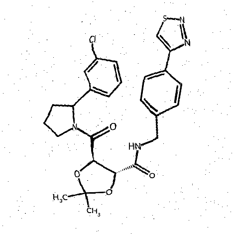 CC1(C)O[C@@H](C(=O)NCc2ccc(-c3csnn3)cc2)[C@H](C(=O)N2CCCC2c2cccc(Cl)c2)O1